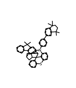 CC1(C)CCC(C)(C)c2cc(-c3ccc(N(c4ccc5c(c4)C(C)(C)c4ccccc4-5)c4cccc5c4C4(c6ccccc6S5)C5CC6CC(C5)C4C6)cc3)ccc21